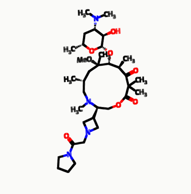 CO[C@]1(C)C[C@@H](C)CN(C)[C@H](C2CN(CC(=O)N3CCCC3)C2)COC(=O)C(C)(C)C(=O)[C@H](C)[C@H]1O[C@@H]1O[C@H](C)C[C@H](N(C)C)[C@H]1O